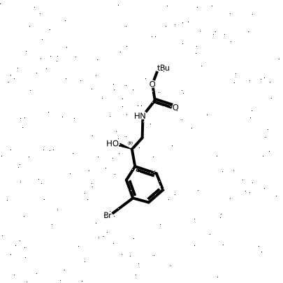 CC(C)(C)OC(=O)NC[C@H](O)c1cccc(Br)c1